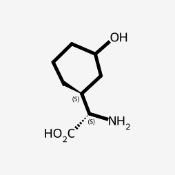 N[C@H](C(=O)O)[C@H]1CCCC(O)C1